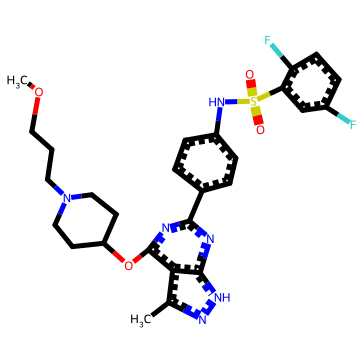 COCCCN1CCC(Oc2nc(-c3ccc(NS(=O)(=O)c4cc(F)ccc4F)cc3)nc3[nH]nc(C)c23)CC1